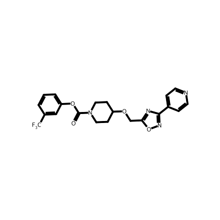 O=C(Oc1cccc(C(F)(F)F)c1)N1CCC(OCc2nc(-c3ccncc3)no2)CC1